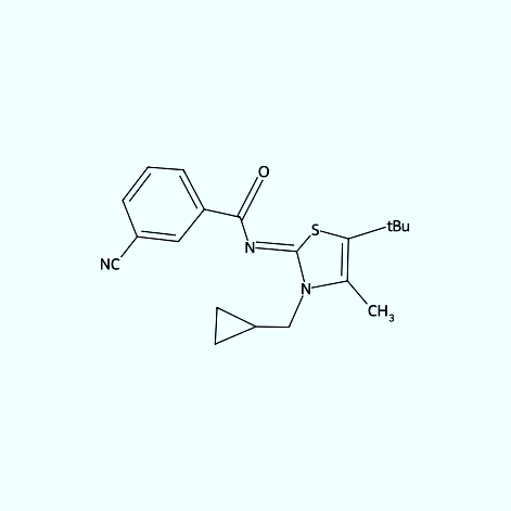 Cc1c(C(C)(C)C)s/c(=N\C(=O)c2cccc(C#N)c2)n1CC1CC1